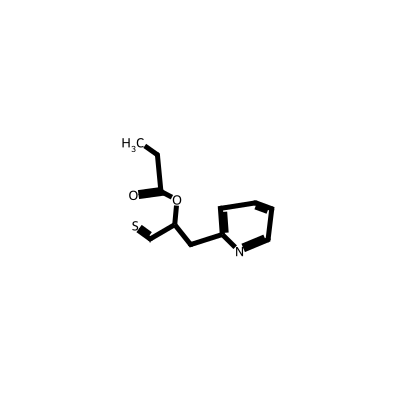 CCC(=O)OC([C]=S)Cc1ccccn1